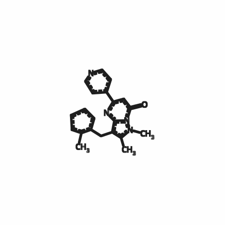 Cc1ccccc1Cc1c(C)n(C)n2c(=O)cc(-c3ccncc3)nc12